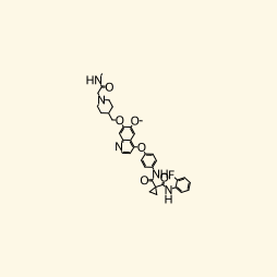 CNC(=O)CN1CCC(COc2cc3nccc(Oc4ccc(NC(=O)C5(C(=O)Nc6ccccc6F)CC5)cc4)c3cc2OC)CC1